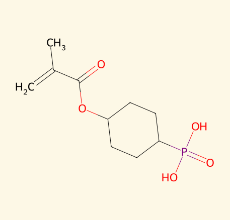 C=C(C)C(=O)OC1CCC(P(=O)(O)O)CC1